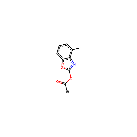 CCC(=O)Oc1nc2c(C)cccc2o1